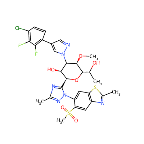 CO[C@H]1C(C(C)O)O[C@@H](c2nc(C)nn2-c2cc3sc(C)nc3cc2S(C)(=O)=O)[C@@H](O)C1n1cc(-c2ccc(Cl)c(F)c2F)cn1